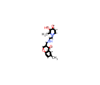 Cc1ccc2occ(CNCCn3ccc(=O)c(O)c3C)c(=O)c2c1